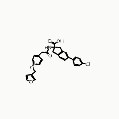 O=C(Cc1ccc(OCc2ccoc2)cc1)NC1(C(=O)O)Cc2ccc(-c3ccc(Cl)cc3)cc2C1